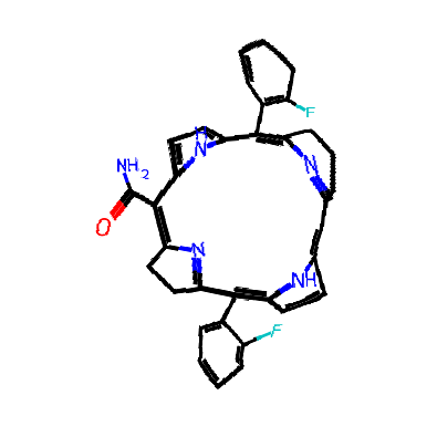 NC(=O)c1c2nc(c(-c3ccccc3F)c3ccc(cc4nc(c(C5=C(F)CCC=C5)c5ccc1[nH]5)CC4)[nH]3)CC2